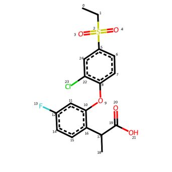 CCS(=O)(=O)c1ccc(Oc2cc(F)ccc2C(C)C(=O)O)c(Cl)c1